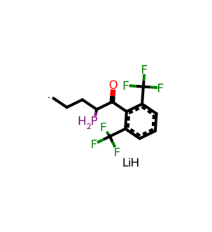 [CH2]CCC(P)C(=O)c1c(C(F)(F)F)cccc1C(F)(F)F.[LiH]